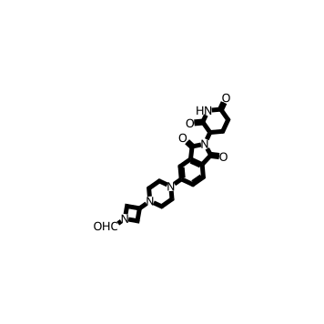 O=CN1CC(N2CCN(c3ccc4c(c3)C(=O)N(C3CCC(=O)NC3=O)C4=O)CC2)C1